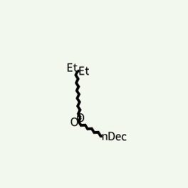 CCCCCCCCCCCCCCCCCC(=O)OCCCCCCCCCCCC(CC)CC